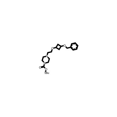 CC(C)(C)OC(=O)N1CCN(CCOC2CC(OCc3ccccc3)C2)CC1